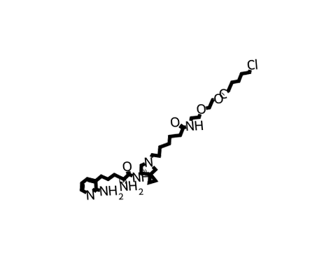 Nc1ncccc1CCC[C@H](N)C(=O)N[C@H]1CN(CCCCCCC(=O)NCCOCCOCCCCCCCl)CC12CC2